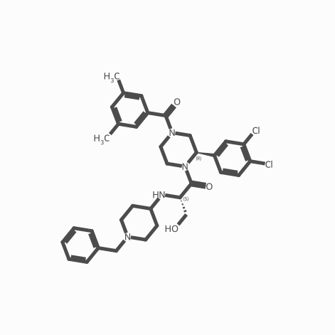 Cc1cc(C)cc(C(=O)N2CCN(C(=O)[C@H](CO)NC3CCN(Cc4ccccc4)CC3)[C@H](c3ccc(Cl)c(Cl)c3)C2)c1